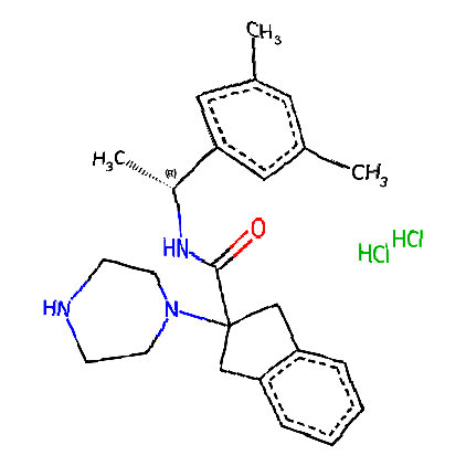 Cc1cc(C)cc([C@@H](C)NC(=O)C2(N3CCNCC3)Cc3ccccc3C2)c1.Cl.Cl